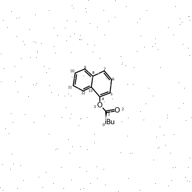 CC[C@H](C)C(=O)Oc1cccc2ccccc12